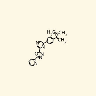 C=C(c1ccc(-c2cncc(-c3nnc(-c4ccccn4)o3)n2)cc1)N(C)C